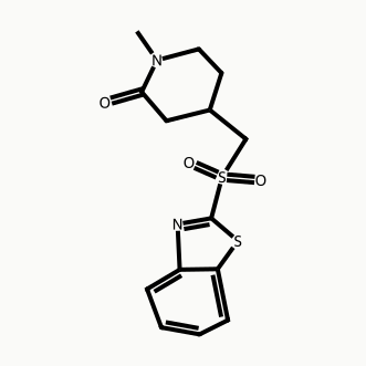 CN1CCC(CS(=O)(=O)c2nc3ccccc3s2)CC1=O